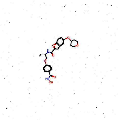 CC[C@@H](COc1ccc(C(=O)NO)cc1)NC(=O)c1cc2cc(OC3CCOCC3)ccc2o1